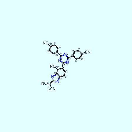 N#CC(C#N)=C1N=c2ccc(-c3nc(-c4ccc(C#N)cc4)nc(-c4ccc(C#N)cc4)n3)c(C#N)c2=N1